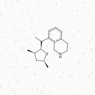 CC(c1cccc2c1CNCC2)[C@H]1O[C@@H](C)C[C@H]1C